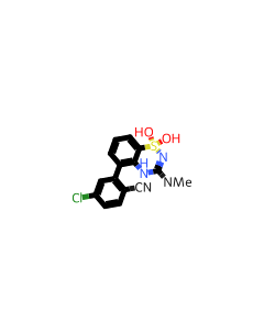 CNC1=NS(O)(O)c2cccc(-c3cc(Cl)ccc3C#N)c2N1